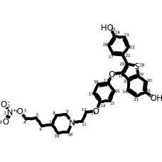 O=[N+]([O-])OCCCC1CCN(CCOc2ccc(Oc3c(-c4ccc(O)cc4)sc4cc(O)ccc34)cc2)CC1